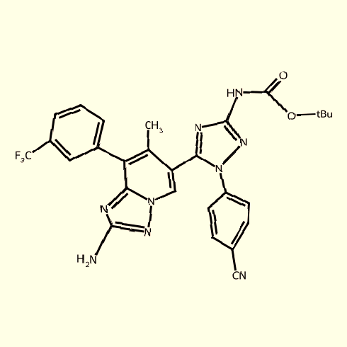 Cc1c(-c2nc(NC(=O)OC(C)(C)C)nn2-c2ccc(C#N)cc2)cn2nc(N)nc2c1-c1cccc(C(F)(F)F)c1